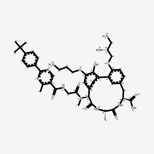 Cc1nc(-c2ccc(C(C)(C)C)cc2)ncc1C(=O)NCC(=O)N(C)[C@@H]1C(=O)N[C@@H](C)C(=O)N[C@H](C(=O)O)Cc2ccc(OC[C@H](O)CN)c(c2)-c2cc1cc(OCCCN)c2O